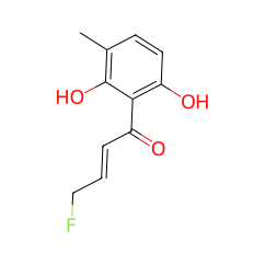 Cc1ccc(O)c(C(=O)/C=C/CF)c1O